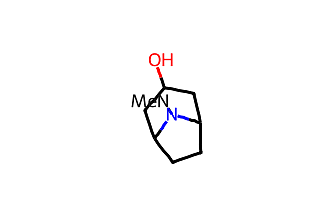 CNN1C2CCC1CC(O)C2